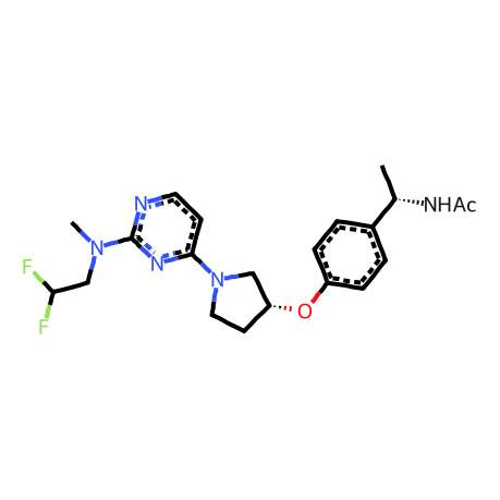 CC(=O)N[C@@H](C)c1ccc(O[C@@H]2CCN(c3ccnc(N(C)CC(F)F)n3)C2)cc1